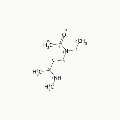 CCN(CCC(C)NC)C(C)=O